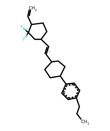 C=CC1CCC(/C=C/C2CCC(c3ccc(CCC)cc3)CC2)CC1(F)F